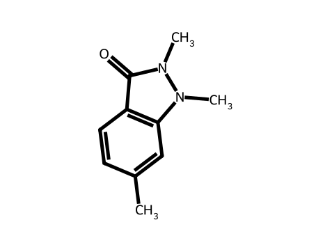 Cc1ccc2c(=O)n(C)n(C)c2c1